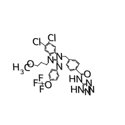 COCCCn1c(=Nc2ccc(OC(F)(F)F)cc2)n(Cc2ccc(C(=O)Nc3nnn[nH]3)cc2)c2cc(Cl)c(Cl)cc21